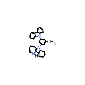 Cc1cc(N2C3=C(N=C=CC=C3)[C@H]3C=CC=CC32)cc(-n2c3ccccc3c3ccccc32)c1